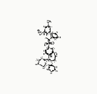 COc1ccc(CN(c2nccs2)S(=O)(=O)c2ccc3c(c2)OCCC3N2CCCC[C@H]2c2ccccc2)c(OC)c1